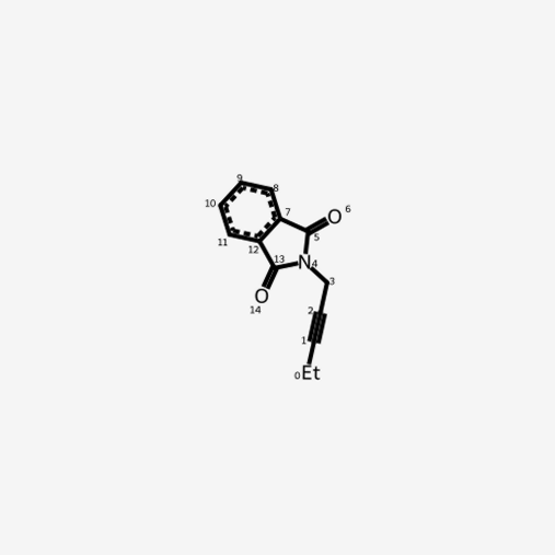 CCC#CCN1C(=O)c2ccccc2C1=O